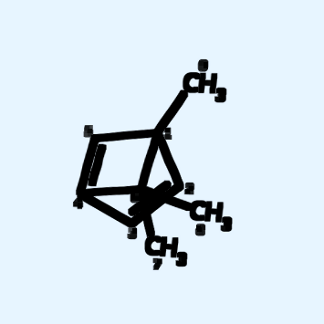 CC12C=CC(=C1)C2(C)C